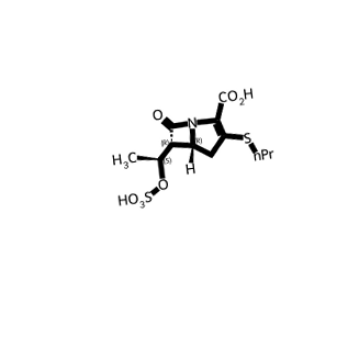 CCCSC1=C(C(=O)O)N2C(=O)[C@@H]([C@H](C)OS(=O)(=O)O)[C@H]2C1